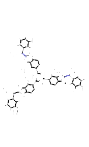 N#C/C(=C1/N=c2ccc(-c3nc(-c4ccc5c(c4C#N)=N/C(=C(\C#N)c4c(F)c(F)c(F)c(F)c4F)N=5)nc(-c4ccc5c(c4C#N)=N/C(=C(\C#N)c4c(F)c(F)c(C#N)c(F)c4F)N=5)n3)c(C#N)c2=N1)c1c(F)c(F)c(F)c(F)c1F